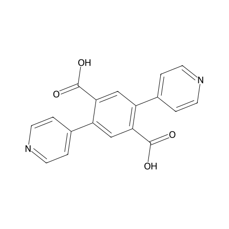 O=C(O)c1cc(-c2ccncc2)c(C(=O)O)cc1-c1ccncc1